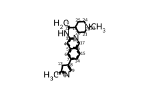 C=C(Nc1cc2cc(C3=CN=C(C)C3)ccc2cn1)C1CCN(C)CC1